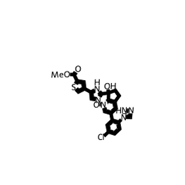 COC(=O)c1cc(-c2cnc(C3(O)CCc4cc(-c5cc(Cl)ccc5-n5cn[nH]5)c[n+]([O-])c43)[nH]2)cs1